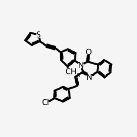 Cc1cc(C#Cc2cccs2)ccc1-n1c(/C=C/c2ccc(Cl)cc2)nc2ccccc2c1=O